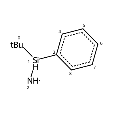 CC(C)(C)[SiH]([NH])c1ccccc1